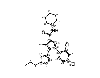 CCCc1ccc(-c2c(C)c(C(=O)NN3CCCCC3)nn2-c2ccc(Cl)cc2Cl)s1